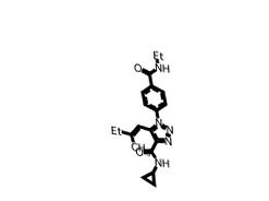 CCNC(=O)c1ccc(-n2nnc(C(=O)NC3CC3)c2C=C(C)CC)cc1